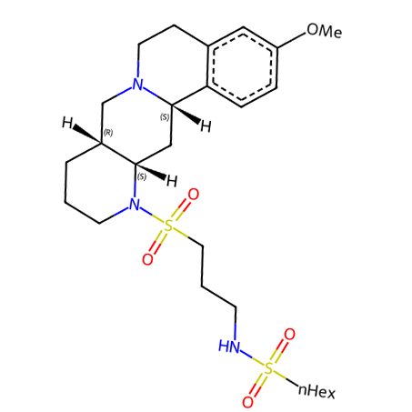 CCCCCCS(=O)(=O)NCCCS(=O)(=O)N1CCC[C@@H]2CN3CCc4cc(OC)ccc4[C@@H]3C[C@@H]21